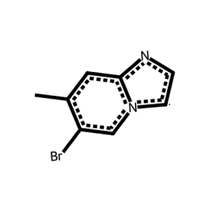 Cc1cc2nc[c]n2cc1Br